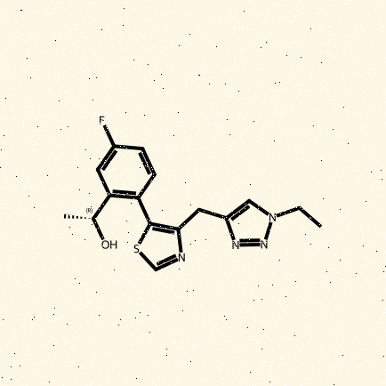 CCn1cc(Cc2ncsc2-c2ccc(F)cc2[C@@H](C)O)nn1